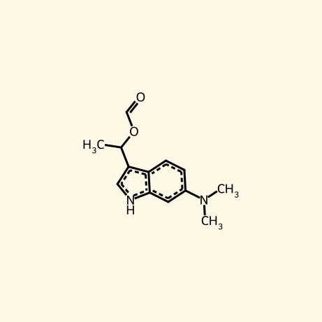 CC(OC=O)c1c[nH]c2cc(N(C)C)ccc12